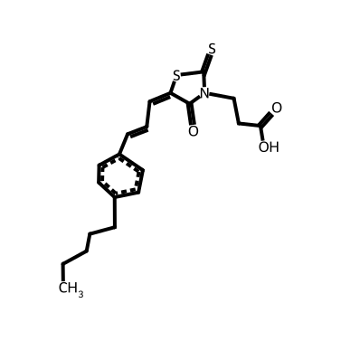 CCCCCc1ccc(C=CC=C2SC(=S)N(CCC(=O)O)C2=O)cc1